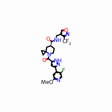 COc1cc(-c2cc(C(=O)N3CC[C@H](C(=O)NCc4conc4C(F)(F)F)CC34CC4)[nH]n2)c(F)cn1